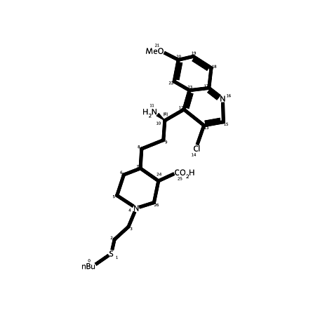 CCCCSCCN1CCC(CC[C@@H](N)c2c(Cl)cnc3ccc(OC)cc23)C(C(=O)O)C1